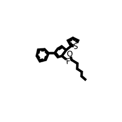 CCCCCCOC1(c2cccs2)C=CC(c2ccccc2)=CC1F